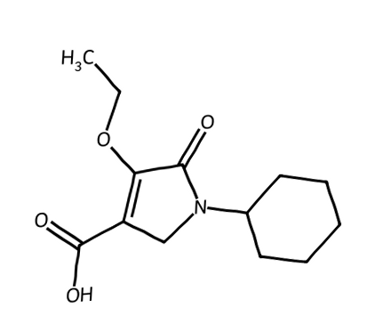 CCOC1=C(C(=O)O)CN(C2CCCCC2)C1=O